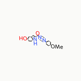 COc1ccc(N2CCN(C(=O)c3cc4cc(O)ccc4[nH]3)CC2)cc1